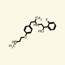 CNCCOc1ccc(CC(C)NCC(O)c2ccccc2F)cc1